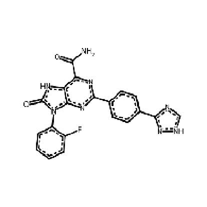 NC(=O)c1nc(-c2ccc(-c3nc[nH]n3)cc2)nc2c1[nH]c(=O)n2-c1ccccc1F